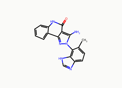 Cc1ccc2nc[nH]c2c1-n1nc2c(c1N)c(=O)[nH]c1ccccc12